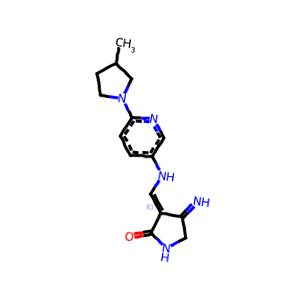 CC1CCN(c2ccc(N/C=C3\C(=N)CNC3=O)cn2)C1